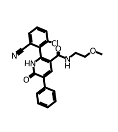 COCCNC(=O)c1cc(-c2ccccc2)c(=O)[nH]c1-c1c(Cl)cccc1C#N